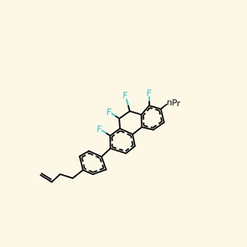 C=CCCc1ccc(-c2ccc3c(c2F)C(F)C(F)c2c-3ccc(CCC)c2F)cc1